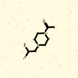 CC(=O)N1CCN(CC(F)F)CC1